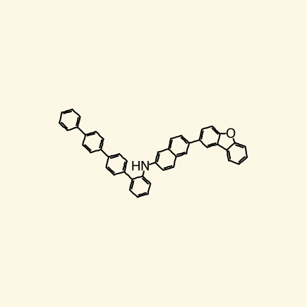 c1ccc(-c2ccc(-c3ccc(-c4ccccc4Nc4ccc5cc(-c6ccc7oc8ccccc8c7c6)ccc5c4)cc3)cc2)cc1